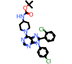 CC(C)(C)OC(=O)NC1CCN(c2ncnc3c2nc(-c2ccccc2Cl)n3-c2ccc(Cl)cc2)CC1